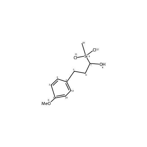 COc1ccc(CCC(O)[Si](C)(Cl)Cl)cc1